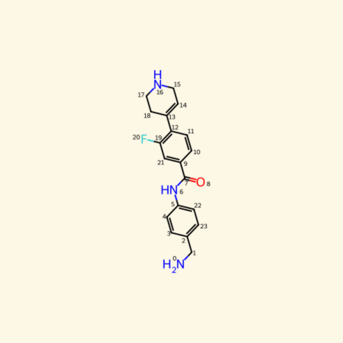 NCc1ccc(NC(=O)c2ccc(C3=CCNCC3)c(F)c2)cc1